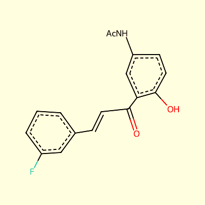 CC(=O)Nc1ccc(O)c(C(=O)C=Cc2cccc(F)c2)c1